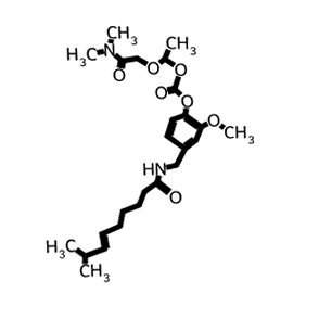 COc1cc(CNC(=O)CCCC/C=C/C(C)C)ccc1OC(=O)OC(C)OCC(=O)N(C)C